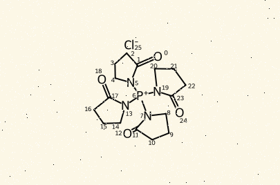 O=C1CCCN1[P+](N1CCCC1=O)(N1CCCC1=O)N1CCCC1=O.[Cl-]